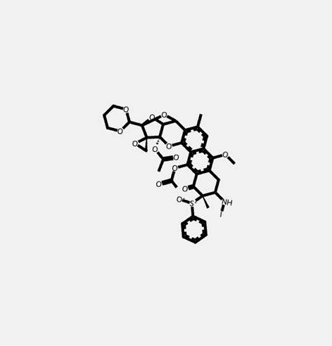 COc1c2c(c(OC(C)=O)c3c4c(c(C)cc13)C1OC3(C5OCCCO5)OC1[C@@](OC(C)=O)(O4)[C@@]31CO1)C(=O)[C@@](C)([S+]([O-])c1ccccc1)C(NI)C2